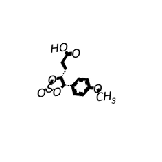 COc1ccc([C@@H]2OS(=O)O[C@@H]2CCC(=O)O)cc1